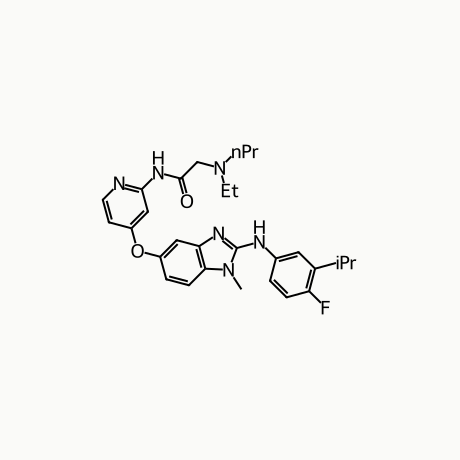 CCCN(CC)CC(=O)Nc1cc(Oc2ccc3c(c2)nc(Nc2ccc(F)c(C(C)C)c2)n3C)ccn1